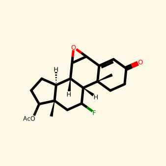 CC(=O)OC1CC[C@H]2[C@@H]3C4OC4C4=CC(=O)CC[C@]4(C)[C@@H]3C(F)C[C@]12C